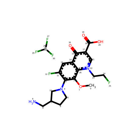 COc1c(N2CCC(CN)C2)c(F)cc2c(=O)c(C(=O)O)cn(CCF)c12.FB(F)F